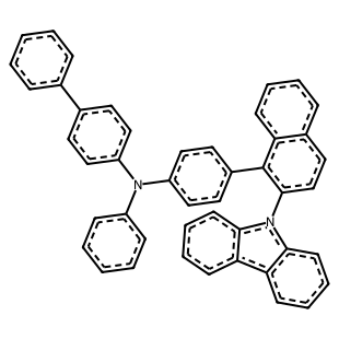 c1ccc(-c2ccc(N(c3ccccc3)c3ccc(-c4c(-n5c6ccccc6c6ccccc65)ccc5ccccc45)cc3)cc2)cc1